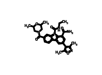 CCNC(=O)n1c2cc(C(=O)N3CC(C)OC(C)C3)ccc2c2cc(-c3c(C)noc3C)cc(C(N)=O)c21